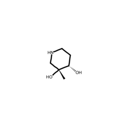 C[C@@]1(O)CNCC[C@@H]1O